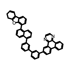 C1=Cc2c(oc3c(-c4cccc5c(-c6cccc(-c7cccc(-c8ccc9c%10ccccc%10c%10nccnc%10c9c8)c7)c6)cccc45)cccc23)CC1